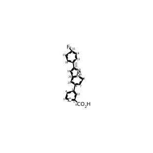 O=C(O)c1cccc(-c2ccn3nc(-c4ccc(F)cc4)cc3c2)c1